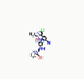 CCN1C(=O)N(c2c(F)cc(NCCN[C@@H](C)CO)cc2F)c2cc(C#N)ccc2-c2cc(Cl)cnc21